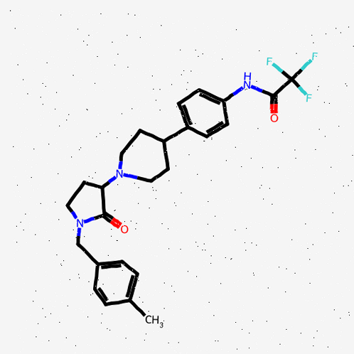 Cc1ccc(CN2CCC(N3CCC(c4ccc(NC(=O)C(F)(F)F)cc4)CC3)C2=O)cc1